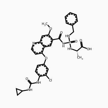 COc1cc2nccc(Oc3ccc(NC(=O)NC4CC4)c(Cl)c3)c2cc1C(=O)NP(=O)(NCc1ccccc1)N[C@@H](C)C(=O)O